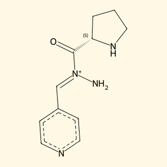 N[N+](=Cc1ccncc1)C(=O)[C@@H]1CCCN1